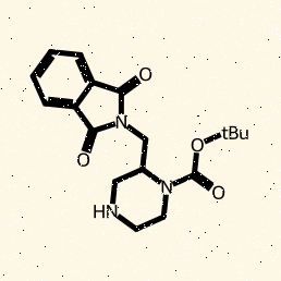 CC(C)(C)OC(=O)N1CCNCC1CN1C(=O)c2ccccc2C1=O